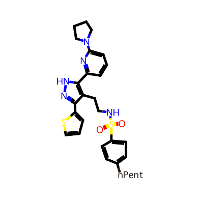 CCCCCc1ccc(S(=O)(=O)NCCc2c(-c3cccs3)n[nH]c2-c2cccc(N3CCCC3)n2)cc1